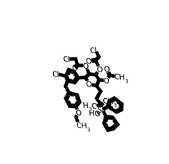 CCOc1ccc(Cc2cc(C3OC(CCC(C)(C)[Si](O)(c4ccccc4)c4ccccc4)C(OC(C)=O)C(OC(=O)CCl)C3OC(=O)CCl)ccc2Cl)cc1